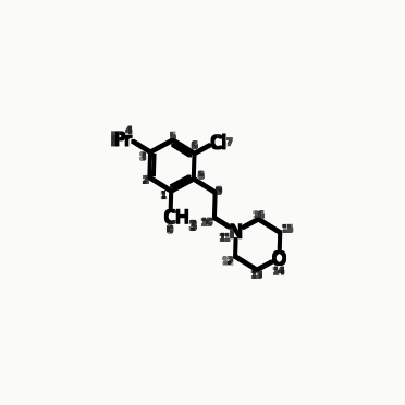 Cc1cc(C(C)C)cc(Cl)c1CCN1CCOCC1